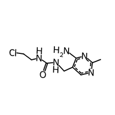 Cc1ncc(CNC(=O)NCCCl)c(N)n1